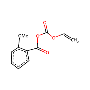 C=COC(=O)OC(=O)c1ccccc1OC